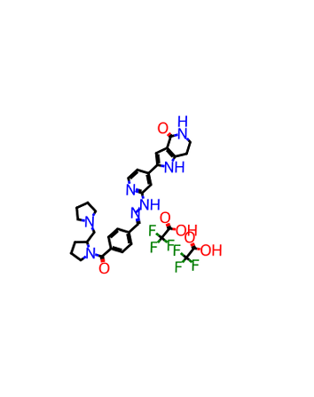 O=C(O)C(F)(F)F.O=C(O)C(F)(F)F.O=C1NCCc2[nH]c(-c3ccnc(NN=Cc4ccc(C(=O)N5CCCC5CN5CCCC5)cc4)c3)cc21